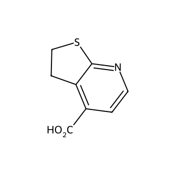 O=C(O)c1ccnc2c1CCS2